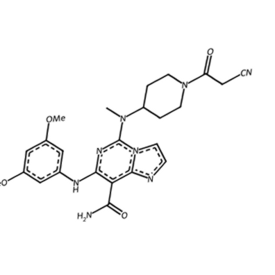 COc1cc(Nc2nc(N(C)C3CCN(C(=O)CC#N)CC3)n3ccnc3c2C(N)=O)cc(OC)c1